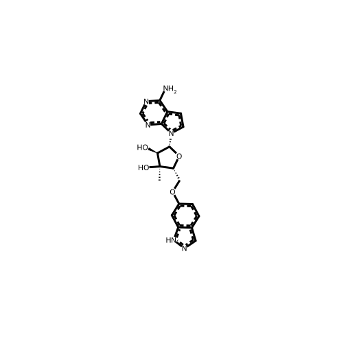 C[C@@]1(O)[C@@H](COc2ccc3cn[nH]c3c2)O[C@@H](n2ccc3c(N)ncnc32)[C@@H]1O